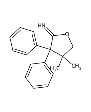 CC1(C)COC(=N)C1(c1ccccc1)c1ccccc1